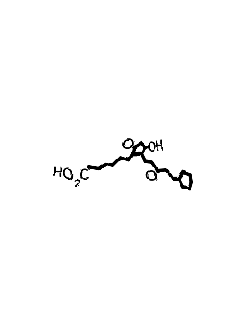 O=C(O)CCCCCCC1=C(C=CC(=O)CCC2CCCCC2)C(O)CC1=O